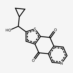 O=C1c2cnccc2C(=O)c2sc(C(O)C3CC3)cc21